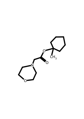 CC1(OC(=O)CN2CCOCC2)CCCCC1